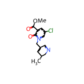 COC(=O)c1cc(Cl)cn(CC2=CC(C)CN=C2)c1=O